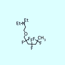 CCN(CC)CCOCC(F)(F)CC(F)(F)CC(C)(F)F